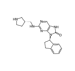 O=c1[nH]c2cnc(NC[C@@H]3CCNC3)nc2n1[C@@H]1CCc2ccccc21